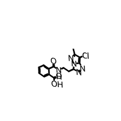 Cc1nn2c(c1Cl)N=NC2CCNC(=O)c1ccccc1C(=O)O